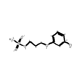 CS(=O)(=O)OCCCOc1cccc(Cl)c1